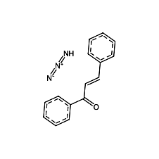 O=C(C=Cc1ccccc1)c1ccccc1.[N-]=[N+]=N